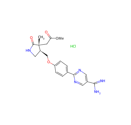 COC(=O)C[C@@]1(C)C(=O)NC[C@@H]1COc1ccc(-c2ncc(C(=N)N)cn2)cc1.Cl